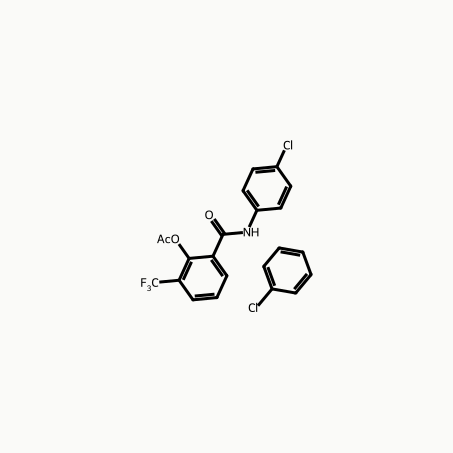 CC(=O)Oc1c(C(=O)Nc2ccc(Cl)cc2)cccc1C(F)(F)F.Clc1ccccc1